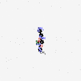 CN1CCN(CC(=O)Nc2cccc(C(=O)Nc3ccc(-c4ccc(N)nc4)cn3)c2OC(F)(F)F)CC1